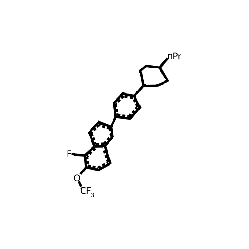 CCCC1CCC(c2ccc(-c3ccc4c(F)c(OC(F)(F)F)ccc4c3)cc2)CC1